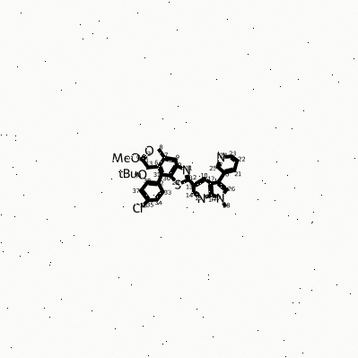 COC(=O)[C@@H](OC(C)(C)C)c1c(C)cc2nc(-c3cnc4c(c3)c(-c3cccnc3)cn4C)sc2c1-c1ccc(Cl)cc1